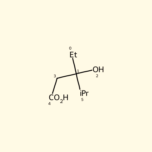 CCC(O)(CC(=O)O)C(C)C